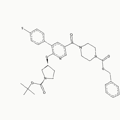 CC(C)(C)OC(=O)N1CC[C@H](Oc2ncc(C(=O)N3CCN(C(=O)OCc4ccccc4)CC3)cc2-c2ccc(F)cc2)C1